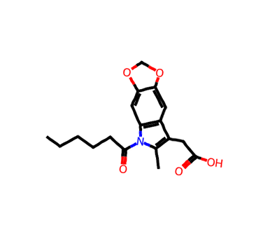 CCCCCC(=O)n1c(C)c(CC(=O)O)c2cc3c(cc21)OCO3